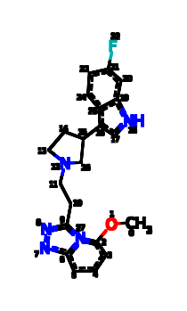 COc1cccc2nnc(CCN3CCC(c4c[nH]c5cc(F)ccc45)C3)n12